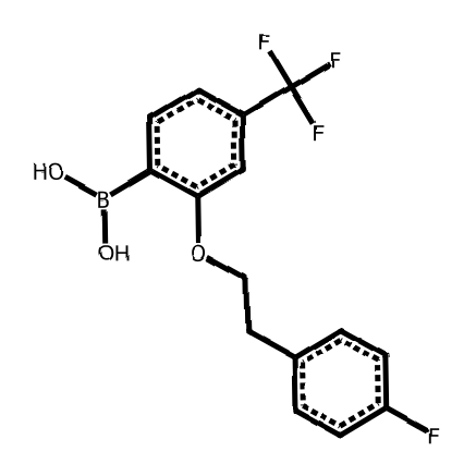 OB(O)c1ccc(C(F)(F)F)cc1OCCc1ccc(F)cc1